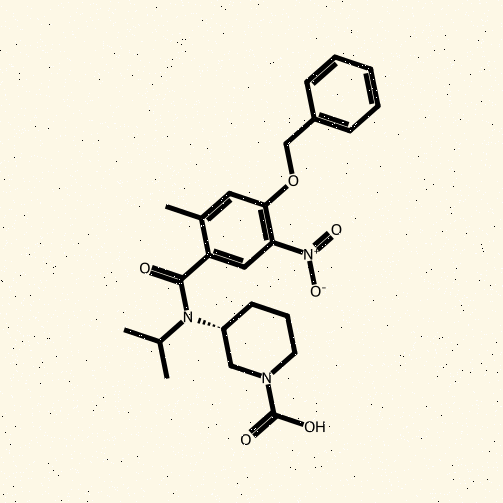 Cc1cc(OCc2ccccc2)c([N+](=O)[O-])cc1C(=O)N(C(C)C)[C@@H]1CCCN(C(=O)O)C1